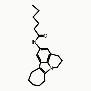 CCCCCC(=O)Nc1cc2c3c(c1)c1c(n3CCC2)CCCCC1